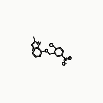 Cc1cn2cccc(OCc3cc([N+](=O)[O-])ccc3Cl)c2n1